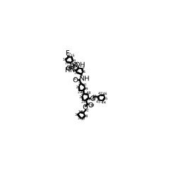 O=C(Nc1ccc(O)c(NS(=O)(=O)c2ccc(F)cc2)c1)c1ccc(-c2ccc(C(=O)OCc3ccccc3)c(OCc3ccccc3)c2)cc1